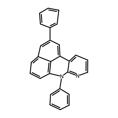 c1ccc(-c2cc3c4c(cccc4c2)N(c2ccccc2)c2ncccc2-3)cc1